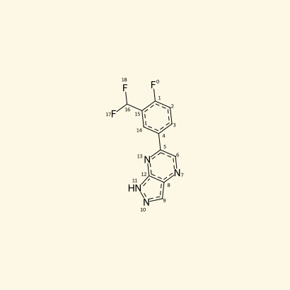 Fc1ccc(-c2cnc3cn[nH]c3n2)cc1C(F)F